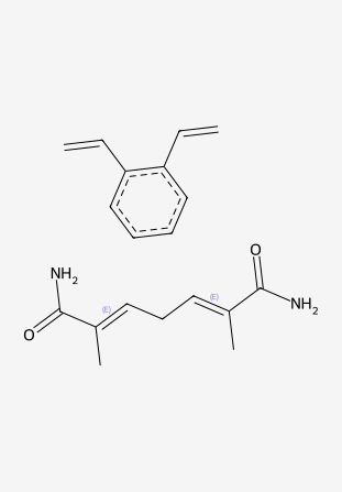 C/C(=C\C/C=C(\C)C(N)=O)C(N)=O.C=Cc1ccccc1C=C